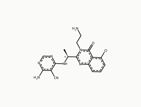 C[C@H](Nc1ncnc(N)c1C#N)c1nc2cccc(Cl)c2c(=O)n1CCN